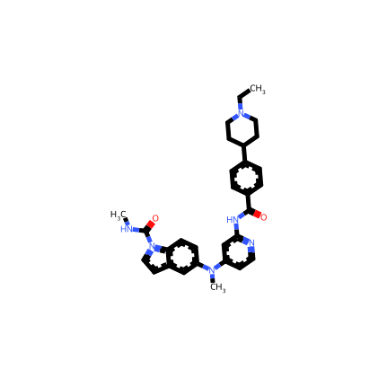 CCN1CCC(c2ccc(C(=O)Nc3cc(N(C)c4ccc5c(ccn5C(=O)NC)c4)ccn3)cc2)CC1